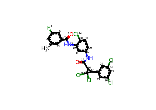 Cc1cc(F)cc(C(=O)Nc2cc(NC(=O)C3C(c4cc(Cl)cc(Cl)c4)C3(Cl)Cl)ccc2Cl)c1